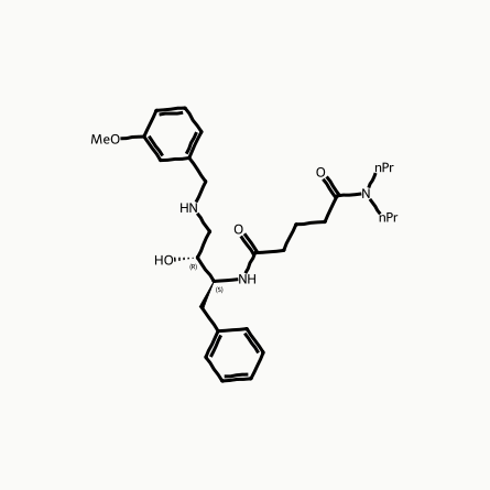 CCCN(CCC)C(=O)CCCC(=O)N[C@@H](Cc1ccccc1)[C@H](O)CNCc1cccc(OC)c1